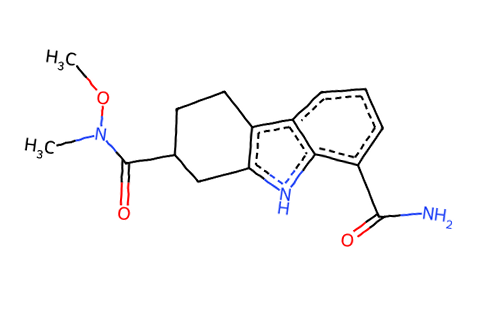 CON(C)C(=O)C1CCc2c([nH]c3c(C(N)=O)cccc23)C1